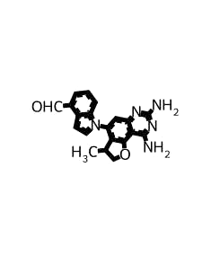 CC1COc2c1c(-n1ccc3c(C=O)cccc31)cc1nc(N)nc(N)c21